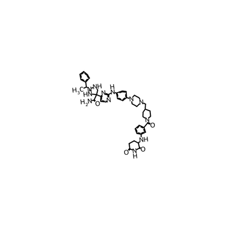 CC(c1ccccc1)N1NCC(C(N)=O)(c2ccnc(Nc3ccc(N4CCN(CC5CCN(C(=O)c6cccc(NC7CCC(=O)NC7=O)c6)CC5)CC4)cc3)n2)N1